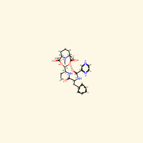 CC(C)C[C@H](NC(=O)C(Cc1ccccc1)NC(=O)c1cnccn1)B1OC(=O)[C@H]2CCC[C@H](C(=O)O1)N2C